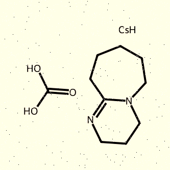 C1CCC2=NCCCN2CC1.O=C(O)O.[CsH]